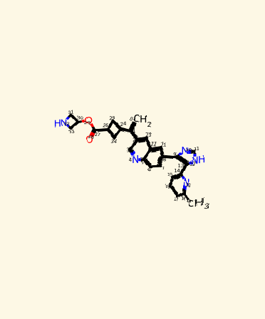 C=C(c1cnc2ccc(-c3nc[nH]c3-c3cccc(C)n3)cc2c1)C1CC(C(=O)OC2CNC2)C1